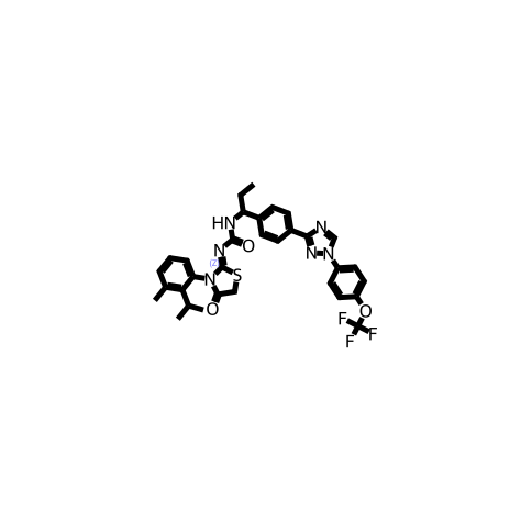 CCC(NC(=O)/N=C1\SCC(=O)N1c1cccc(C)c1C(C)C)c1ccc(-c2ncn(-c3ccc(OC(F)(F)F)cc3)n2)cc1